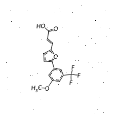 COc1cc(-c2ccc(/C=C/C(=O)O)o2)cc(C(F)(F)F)c1